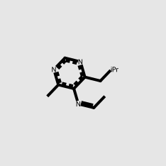 C/C=N\c1c(C)ncnc1CC(C)C